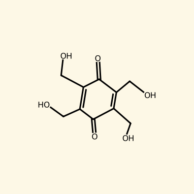 O=C1C(CO)=C(CO)C(=O)C(CO)=C1CO